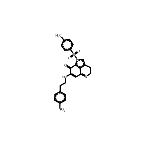 Cc1ccc(S(=O)(=O)n2cc3c4c2C(=O)C(NCCc2ccc([N+](=O)[O-])cc2)=CC4=NCC3)cc1